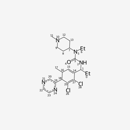 CCC(NC(=O)N(CC)C1CCN(C)CC1)C1=CC(C)C(c2cnccn2)C(Cl)=C1Cl